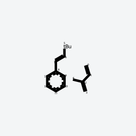 C=CC(=C)C.CC(C)(C)C=Cc1ccccc1